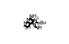 CCCCc1nc2c(N)nc3ncccc3c2n1CC(C)C